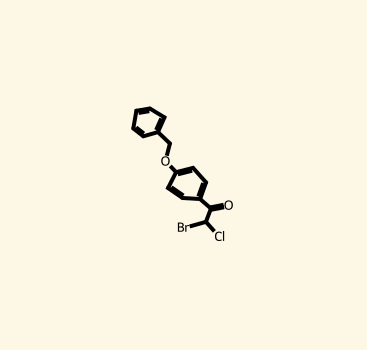 O=C(c1ccc(OCc2ccccc2)cc1)C(Cl)Br